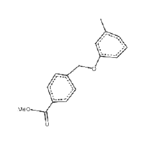 COC(=O)c1ccc(COc2cccc(C)c2)cc1